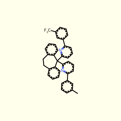 Cc1cccc(-c2cccc(C3(c4cccc(-c5cccc(C(F)(F)F)c5)n4)c4ccccc4CCc4ccccc43)n2)c1